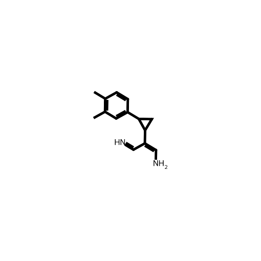 Cc1ccc(C2CC2/C(C=N)=C/N)cc1C